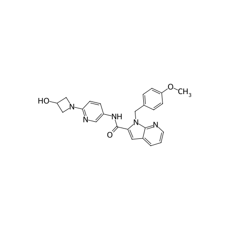 COc1ccc(Cn2c(C(=O)Nc3ccc(N4CC(O)C4)nc3)cc3cccnc32)cc1